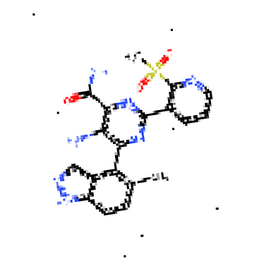 Cc1ccc2[nH]ncc2c1-c1nc(-c2cccnc2S(C)(=O)=O)nc(C(N)=O)c1N